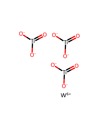 [O]=[Ti]([O-])[O-].[O]=[Ti]([O-])[O-].[O]=[Ti]([O-])[O-].[W+6]